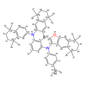 Cc1cc2c3c(c1)N(c1ccc([SiH](C)C)cc1)c1c(oc4cc5c(cc14)C(C)(C)CCC5(C)C)B3c1cc3c(cc1N2c1ccc2c(c1)C(C)(C)CCC2(C)C)C(C)(C)CCC3(C)C